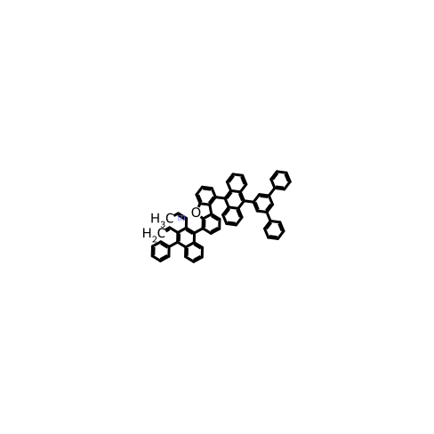 C=Cc1c(/C=C\C)c(-c2cccc3c2oc2cccc(-c4c5ccccc5c(-c5cc(-c6ccccc6)cc(-c6ccccc6)c5)c5ccccc45)c23)c2ccccc2c1-c1ccccc1